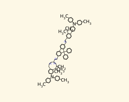 C=C1/C=C(/C=C/c2ccc3c(c2)C(c2ccccc2)(c2ccccc2)c2cc(/C=C/c4ccc5c(c4)C(C)(C)c4cc(N(c6ccc(C)cc6)c6ccc(C)cc6)ccc4-5)ccc2-3)\C=C/Cc2ccc(N(c3ccc(C)cc3)c3ccc(C)cc3)cc2C1(C)C